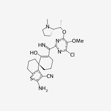 COc1c(Cl)nc(C(=N)C2=C(O)[C@@]3(CCC2)CCCc2sc(N)c(C#N)c23)nc1O[C@@H](C)[C@@H]1CCCN1C